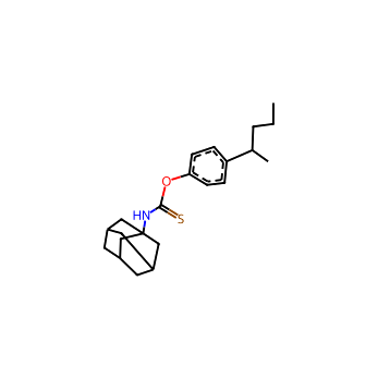 CCCC(C)c1ccc(OC(=S)NC23CC4CC(CC(C4)C2)C3)cc1